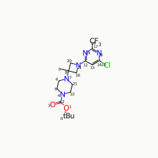 CC(C)(C)OC(=O)N1CCN(C2(C)CN(c3cc(Cl)nc(C(F)(F)F)n3)C2)CC1